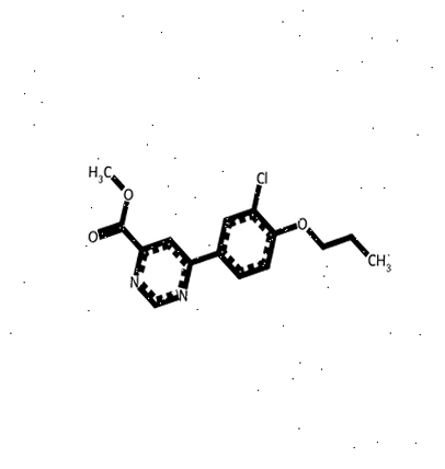 CCCOc1ccc(-c2cc(C(=O)OC)ncn2)cc1Cl